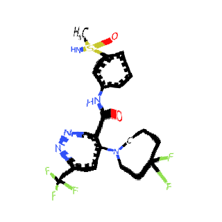 CS(=N)(=O)c1cccc(NC(=O)c2nnc(C(F)(F)F)cc2N2CCCC(F)(F)CC2)c1